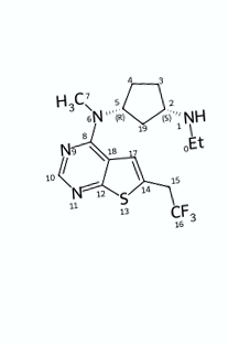 CCN[C@H]1CC[C@@H](N(C)c2ncnc3sc(CC(F)(F)F)cc23)C1